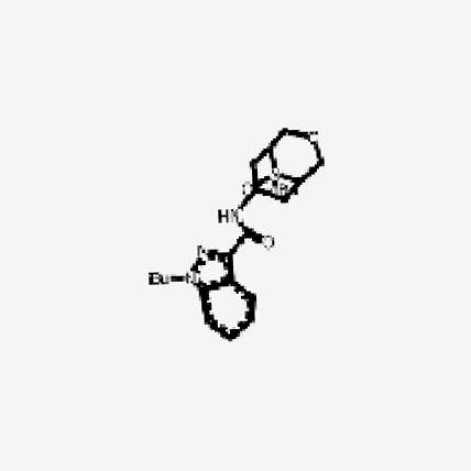 CCCC[N+]1([O-])C2COCC1CC(NC(=O)c1nn(C(C)CC)c3ccccc13)C2